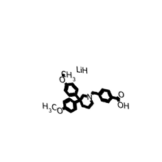 COc1ccc(C2(c3ccc(OC)cc3)CCCN(Cc3ccc(C(=O)O)cc3)C2)cc1.[LiH]